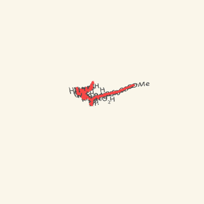 C#CCNC1(C)CCN(C2CCN(c3nc(C(COCNC(=O)CNC(=O)[C@H](Cc4ccccc4)NC(=O)CNC(=O)[C@H](CCCCNC(=O)CCOCCOCCOCCOCCOCCOCCOCCOC)NC(=O)O)(OC4CC4)c4ccccc4)c4cc(-c5cn(C)c(=O)c6[nH]ccc56)ccc4n3)CC2)CC1